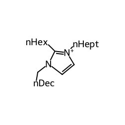 CCCCCCCCCCCn1cc[n+](CCCCCCC)c1CCCCCC